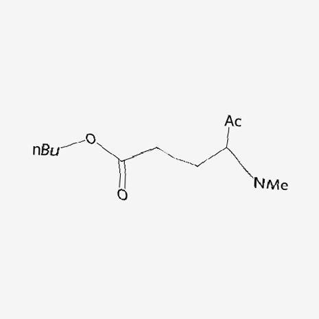 CCCCOC(=O)CCC(NC)C(C)=O